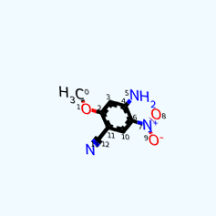 COc1cc(N)c([N+](=O)[O-])cc1C#N